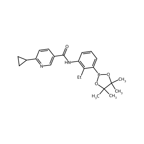 CCc1c(NC(=O)c2ccc(C3CC3)nc2)cccc1B1OC(C)(C)C(C)(C)O1